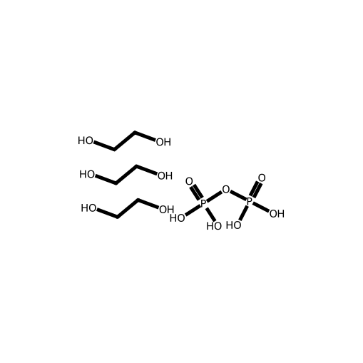 O=P(O)(O)OP(=O)(O)O.OCCO.OCCO.OCCO